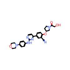 N#Cc1cc(-c2ccnc(Nc3ccc(N4CCOCC4)cc3)n2)ccc1O[C@@H]1CCN(C(=O)CO)C1